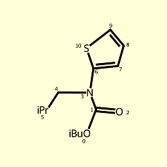 CC(C)COC(=O)N(CC(C)C)c1cccs1